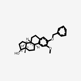 COc1cc2c(cc1OCc1ccccc1)CC[C@@H]1[C@@H]2CC[C@]2(C)[C@@H](O)CC[C@@H]12